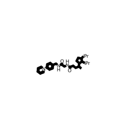 CC(C)C1CCC(C(C)CCC(=O)NCC(=O)NCc2ccc(-[n+]3ccccc3)cc2)C1C(C)C